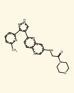 Cc1cccc(-c2n[nH]cc2-c2ccc3ncc(NCC(=O)N4CCOCC4)cc3n2)n1